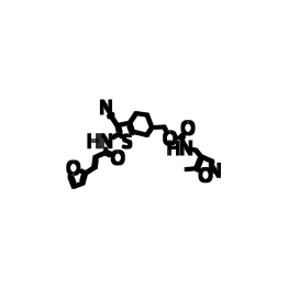 Cc1oncc1CNC(=O)OCC1CCc2c(sc(NC(=O)C=Cc3ccco3)c2C#N)C1